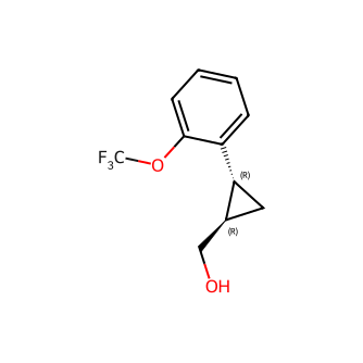 OC[C@@H]1C[C@H]1c1ccccc1OC(F)(F)F